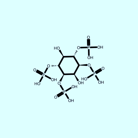 O=P(O)(O)O[C@@H]1[C@@H](O)[C@H](OP(=O)(O)O)[C@@H](OP(=O)(O)O)[C@@H](O)[C@H]1OP(=O)(O)O